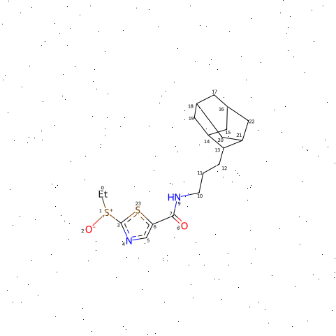 CC[S+]([O-])c1ncc(C(=O)NCCCC2C3CC4CC(C3)CC2C4)s1